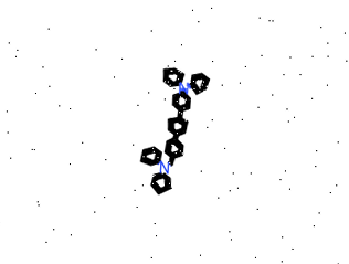 C1=CC(N(c2ccccc2)c2ccccc2)CC=C1c1ccc(-c2ccc(CN(c3ccccc3)c3ccccc3)cc2)cc1